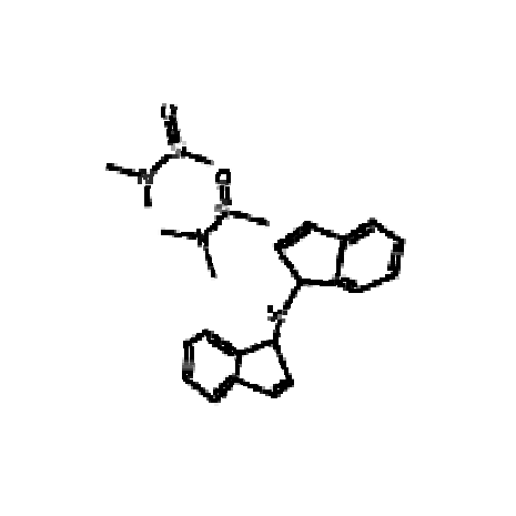 C1=C[CH]([Sc][CH]2C=Cc3ccccc32)c2ccccc21.CN(C)[Si](C)=O.CN(C)[Si](C)=O